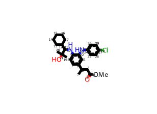 COC(=O)CC(C)c1ccc(NC(C2CCCCC2)C(C)(C)O)c(Nc2ccc(Cl)cc2)c1